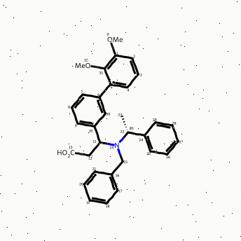 COc1cccc(-c2cccc(C(CC(=O)O)N(Cc3ccccc3)[C@H](C)c3ccccc3)c2)c1OC